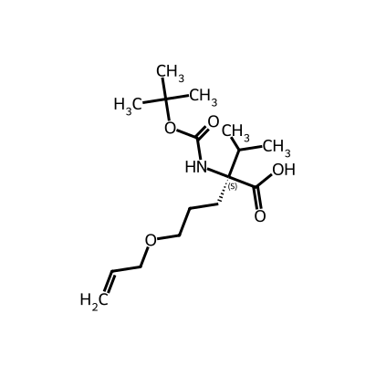 C=CCOCCC[C@@](NC(=O)OC(C)(C)C)(C(=O)O)C(C)C